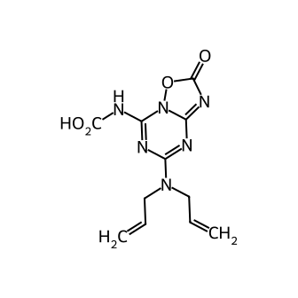 C=CCN(CC=C)c1nc(NC(=O)O)n2oc(=O)nc2n1